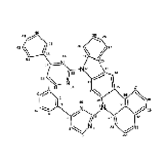 c1ccc(-c2ccnc(N3c4cc5c(cc4-c4cccc6cccc3c46)c3ccccc3n5-c3nccc(-c4ccccc4)n3)n2)cc1